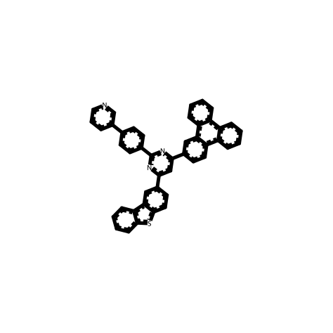 c1cncc(-c2ccc(-c3nc(-c4ccc5sc6ccccc6c5c4)cc(-c4ccc5c6ccccc6c6ccccc6c5c4)n3)cc2)c1